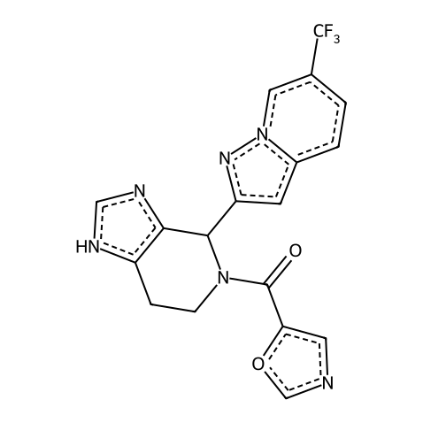 O=C(c1cnco1)N1CCc2[nH]cnc2C1c1cc2ccc(C(F)(F)F)cn2n1